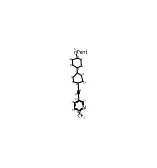 CCCCCC1CCC(C2CCC(C#Cc3ccc(C(F)(F)F)nc3)CC2)CC1